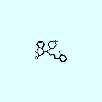 O=c1cc(N(C/C=C/c2ccccc2Cl)C2CCNCC2)c2ccccc2o1